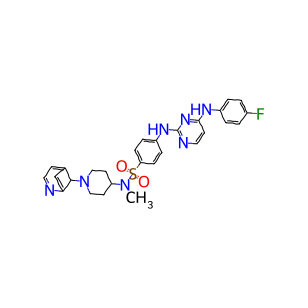 CN(C1CCN(C2C3=CC=NC2=C3)CC1)S(=O)(=O)c1ccc(Nc2nccc(Nc3ccc(F)cc3)n2)cc1